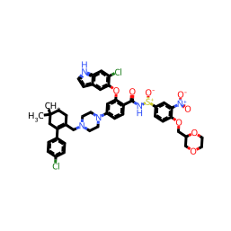 CC1(C)CCC(CN2CCN(c3ccc(C(=O)N[S+]([O-])c4ccc(OCC5COCCO5)c([N+](=O)[O-])c4)c(Oc4cc5cc[nH]c5cc4Cl)c3)CC2)=C(c2ccc(Cl)cc2)C1